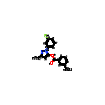 CCCCc1cccc(C(=O)Oc2cc(CCC)nn2-c2cccc(F)c2)c1